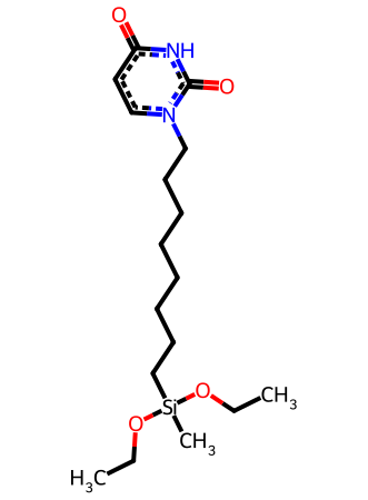 CCO[Si](C)(CCCCCCCCn1ccc(=O)[nH]c1=O)OCC